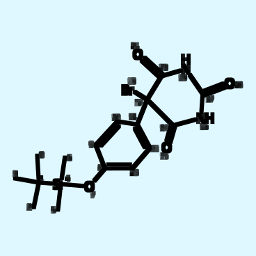 CC(C)(C)[Si](C)(C)Oc1ccc(C2(Br)C(=O)NC(=O)NC2=O)cc1